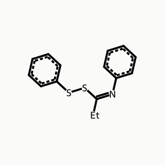 CCC(=Nc1ccccc1)SSc1ccccc1